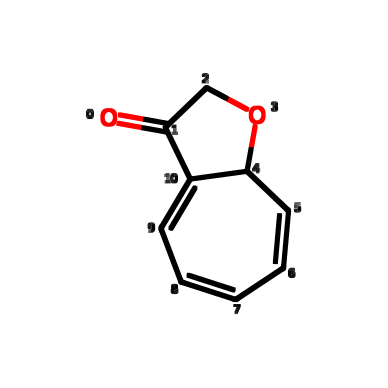 O=C1COC2C=CC=CC=C12